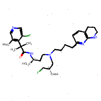 COc1cncc(F)c1C(C)(C)C(=O)N[C@@H](CCN(CCCCc1ccc2c(n1)NCCC2)C[C@@H](CF)OC)C(=O)O